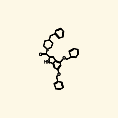 O=C(c1cc2c(OCc3ccccc3)cc(OCc3ccccc3)cc2[nH]1)N1CCC(Cc2ccccc2)CC1